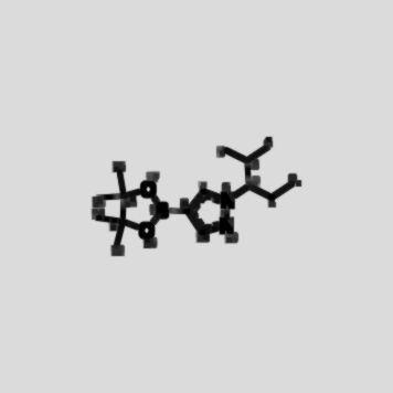 [CH2]CC(C(C)C)n1cc(B2OC(C)(C)C(C)(C)O2)cn1